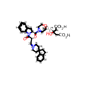 O=C(O)CC(O)(CC(=O)O)C(=O)O.O=C([C@@H]1Cc2ccccc2N1C(=O)CCN1CCC2(CCc3ccccc32)CC1)N1CCOCC1